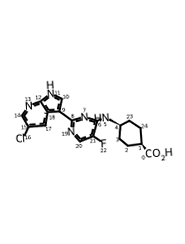 O=C(O)[C@H]1CC[C@@H](Nc2nc(-c3c[nH]c4ncc(Cl)cc34)ncc2F)CC1